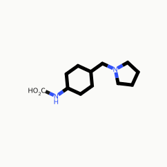 O=C(O)NC1CCC(CN2CCCC2)CC1